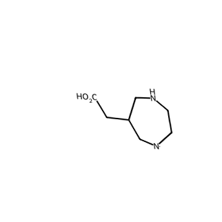 O=C(O)CC1C[N]CCNC1